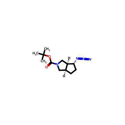 CC(C)(C)OC(=O)N1C[C@@H]2CC[C@@H](N=[N+]=[N-])[C@@H]2C1